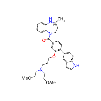 COCCN(CCCOc1cc(C(=O)N2CC[C@H](C)Nc3ccccc32)ccc1-c1ccc2[nH]ccc2c1)CCOC